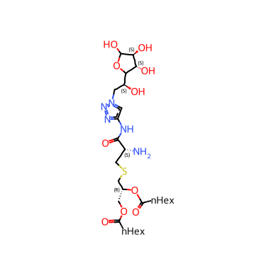 CCCCCCC(=O)OC[C@H](CSC[C@@H](N)C(=O)Nc1cn(C[C@H](O)C2OC(O)[C@@H](O)[C@@H]2O)nn1)OC(=O)CCCCCC